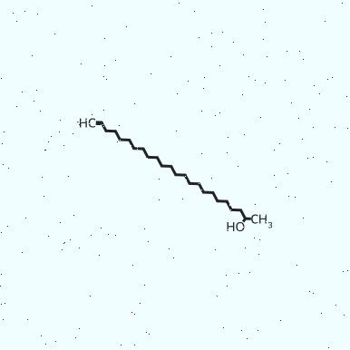 [CH]=CCCCCCCCCCCCCCCCCCCCCC(C)O